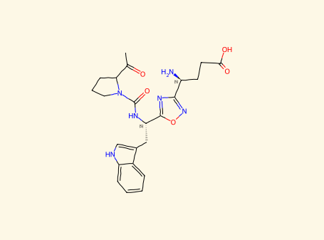 CC(=O)C1CCCN1C(=O)N[C@@H](Cc1c[nH]c2ccccc12)c1nc([C@@H](N)CCC(=O)O)no1